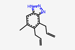 C=CCc1c(C)cc2[nH]nnc2c1CC=C